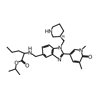 CCCC(NCc1ccc2c(c1)nc(-c1cc(C)c(=O)n(C)c1)n2C[C@@H]1CCCNC1)C(=O)OC(C)C